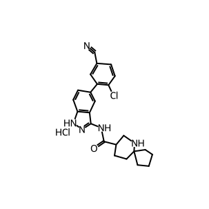 Cl.N#Cc1ccc(Cl)c(-c2ccc3[nH]nc(NC(=O)C4CCC5(CCCC5)NC4)c3c2)c1